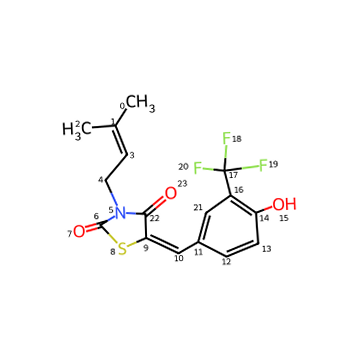 CC(C)=CCN1C(=O)SC(=Cc2ccc(O)c(C(F)(F)F)c2)C1=O